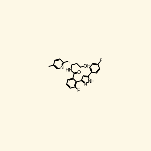 Cc1ccc(C[C@H](CCO)NC(=O)c2cccc(F)c2-c2cc(-c3ccc(F)cc3)[nH]n2)nc1